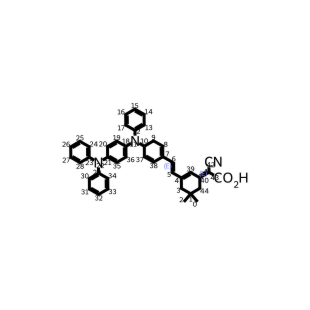 CC1(C)CC(/C=C/C2=CCC(N(c3ccccc3)c3ccc(N(c4ccccc4)c4ccccc4)cc3)C=C2)=CC(=C(\C#N)C(=O)O)/C1